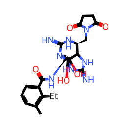 CCc1c(C)cccc1C(=O)N[C@H]1CN2C(=N)N[C@@H](CN3C(=O)CCC3=O)C3NC(=N)NC32C1(O)O